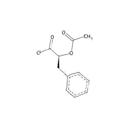 CC(=O)O[C@@H](Cc1ccccc1)C(=O)Cl